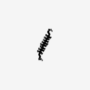 NCCC(F)(F)C(F)(F)C(F)(F)C(F)(F)C(F)(F)C(F)(F)C(F)(F)C(F)(F)CCN